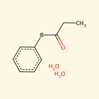 CCC(=O)[B]c1ccccc1.O.O